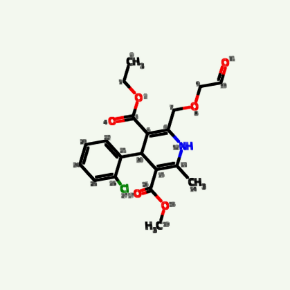 CCOC(=O)C1=C(COCC=O)NC(C)=C(C(=O)OC)C1c1ccccc1Cl